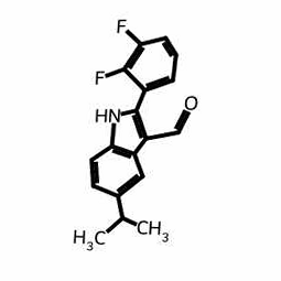 CC(C)c1ccc2[nH]c(-c3cccc(F)c3F)c(C=O)c2c1